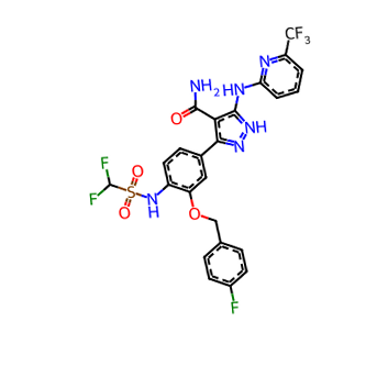 NC(=O)c1c(-c2ccc(NS(=O)(=O)C(F)F)c(OCc3ccc(F)cc3)c2)n[nH]c1Nc1cccc(C(F)(F)F)n1